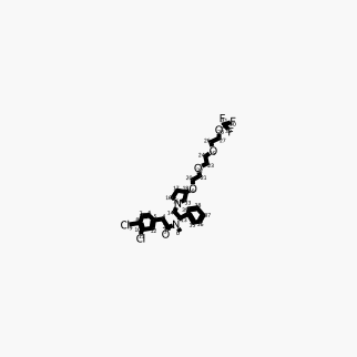 CN(C(=O)Cc1ccc(Cl)c(Cl)c1)C(CN1CCC(OCCOCCOCCOC(F)(F)F)C1)c1ccccc1